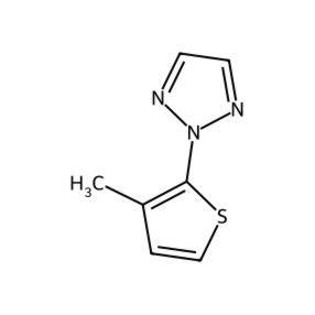 Cc1ccsc1-n1nccn1